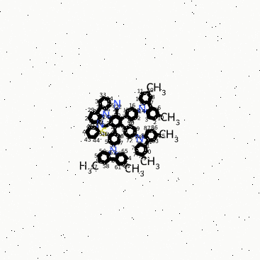 Cc1ccc2c(c1)c1cc(C)ccc1n2-c1ccc(-c2c(C#N)c(-n3c4ccccc4c4ccccc43)c(-c3nc4ccccc4s3)c(-c3ccc(-n4c5ccc(C)cc5c5cc(C)ccc54)cc3)c2-c2ccc(-n3c4ccc(C)cc4c4cc(C)ccc43)cc2)cc1